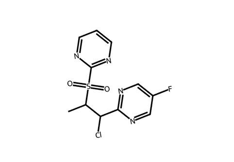 CC(C(Cl)c1ncc(F)cn1)S(=O)(=O)c1ncccn1